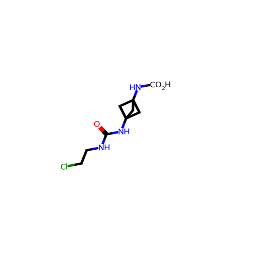 O=C(O)NC12CC(NC(=O)NCCCl)(C1)C2